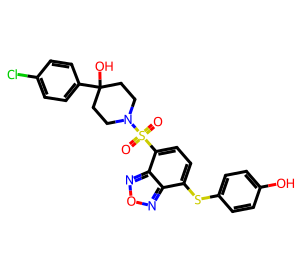 O=S(=O)(c1ccc(Sc2ccc(O)cc2)c2nonc12)N1CCC(O)(c2ccc(Cl)cc2)CC1